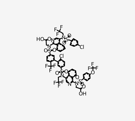 O=C(O)CN(c1ncc(N(CC(F)(F)F)S(=O)(=O)c2ccc(Cl)c(-c3cc(S(=O)(=O)N(CC(=O)O)c4ncc(N(CC(F)(F)F)S(=O)(=O)c5ccc(Cl)cc5)c5ccccc45)ccc3C(F)(F)F)c2)c2ccccc12)S(=O)(=O)c1ccc(OC(F)(F)F)cc1